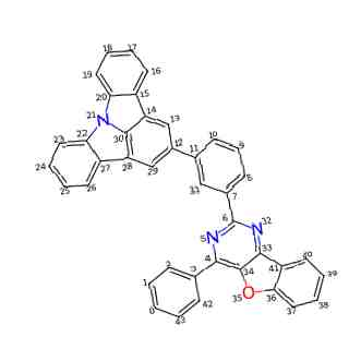 c1ccc(-c2nc(-c3cccc(-c4cc5c6ccccc6n6c7ccccc7c(c4)c56)c3)nc3c2oc2ccccc23)cc1